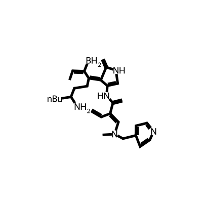 BC(=C/C)/C(CCC(N)CCCC)=c1/c(NC(=C)/C(C=C)=C/N(C)Cc2ccncc2)c[nH]c1=C